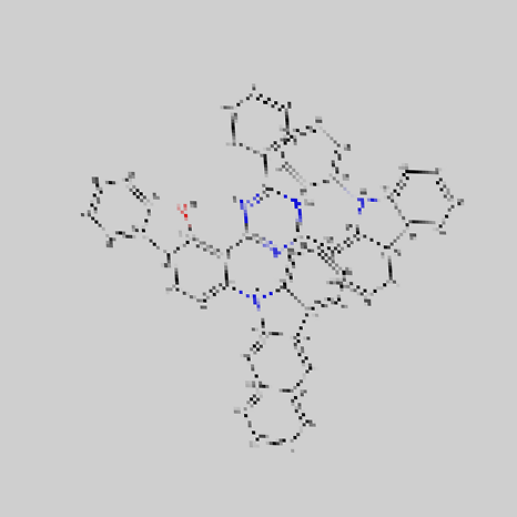 c1ccc(-c2nc(-c3c(-n4c5ccccc5c5cc6ccccc6cc54)ccc4c3oc3ccccc34)nc(-c3cccc4c5ccccc5n(-c5ccccc5)c34)n2)cc1